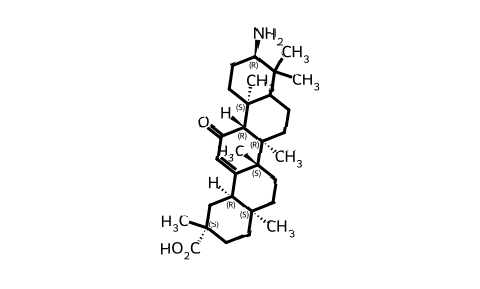 CC1(C)C2CC[C@]3(C)[C@H](C(=O)C=C4[C@@H]5C[C@@](C)(C(=O)O)CC[C@]5(C)CC[C@]43C)[C@@]2(C)CC[C@H]1N